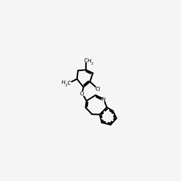 CC1=CC(Cl)=C(OC2=CCc3ccccc3N=C2)C(C)C1